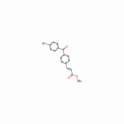 CC(C)c1ccc(C(=O)c2ccc(/C=C/C(=O)OC(C)(C)C)cc2)cc1